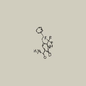 NC(=O)c1cc(CCc2ccccc2)c(C(F)(F)F)[nH]c1=O